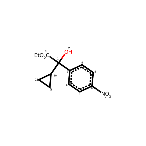 CCOC(=O)C(O)(c1ccc([N+](=O)[O-])cc1)C1CC1